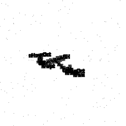 CCCCCCCCC(CCCCCC)CO[Si](C)(C)OC(CCCCCCC)OCCCCCCN(CCCCO)CCCCCCOC(CCCCCCC)O[Si](C)(C)OCC(CCCCCC)CCCCCCCC